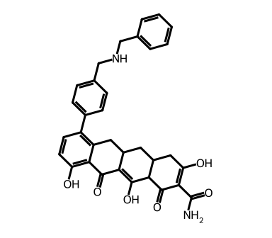 NC(=O)C1=C(O)CC2CC3Cc4c(-c5ccc(CNCc6ccccc6)cc5)ccc(O)c4C(=O)C3=C(O)C2C1=O